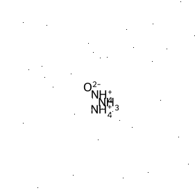 N.[NH4+].[NH4+].[O-2]